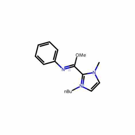 CCCC[n+]1ccn(C)c1/C(=N/c1ccccc1)OC